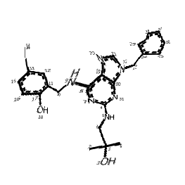 CC(C)(O)CNc1nc(NCc2cc(I)ccc2O)c2ncn(Cc3ccccc3)c2n1